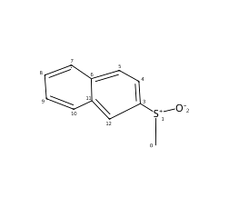 C[S+]([O-])c1ccc2[c]cccc2c1